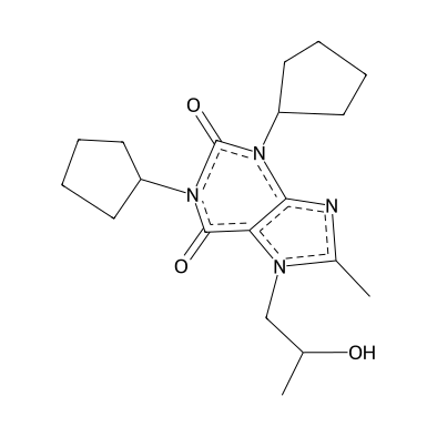 Cc1nc2c(c(=O)n(C3CCCC3)c(=O)n2C2CCCC2)n1CC(C)O